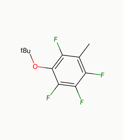 Cc1c(F)c(F)c(F)c(OC(C)(C)C)c1F